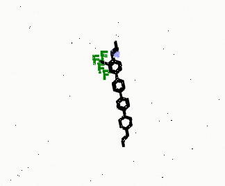 C/C=C/c1ccc(-c2ccc(-c3ccc(C4CCC(CCC)CC4)cc3)cc2)c(F)c1C(F)(F)F